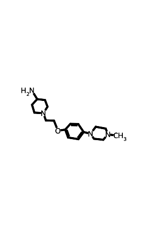 CN1CCN(c2ccc(OCCN3CCC(N)CC3)cc2)CC1